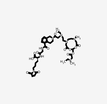 CCN(C)CC(=O)OC1OC(=O)CN(C)CCN(CCN(CC)CC(=O)N2CCc3c(cccc3C(=O)NCC(=O)N[C@@H](CCCCN3C(=O)C=CC3=O)C(=O)O)C2)CC(=O)O1